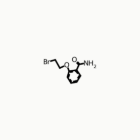 NC(=O)c1ccccc1OCCBr